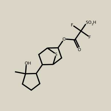 CC1(O)CCCC1C1CC2SC1CC2OC(=O)C(F)(F)S(=O)(=O)O